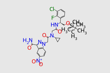 CC(C)(C)[Si](C)(C)OC[C@@H](NC(=O)CN(C(=O)Cn1nc(C(N)=O)c2cc([N+](=O)[O-])ccc21)C1CC1)c1cccc(Cl)c1F